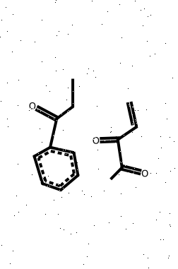 C=CC(=O)C(C)=O.CCC(=O)c1ccccc1